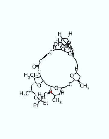 C=C1C[C@@H]2CC[C@@]34C[C@H]5O[C@@H]6[C@@H](O[C@@H](C/C=C/CC(=O)C[C@H]7C(C[C@H]8O[C@@H](CCC1O2)C[C@@H](C)C8=C)O[C@H](C[C@H](C)CO[Si](CC)(CC)CC)[C@@H]7C)[C@H](C)[C@@H]6O3)[C@H]5O4